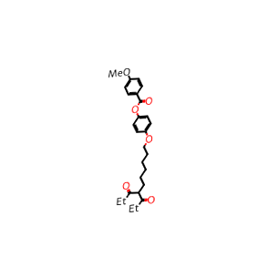 CCC(=O)C(CCCCCCOc1ccc(OC(=O)c2ccc(OC)cc2)cc1)C(=O)CC